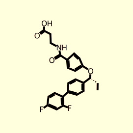 CC[C@@H](Oc1ccc(C(=O)NCCC(=O)O)cc1)c1ccc(-c2ccc(F)cc2F)cc1